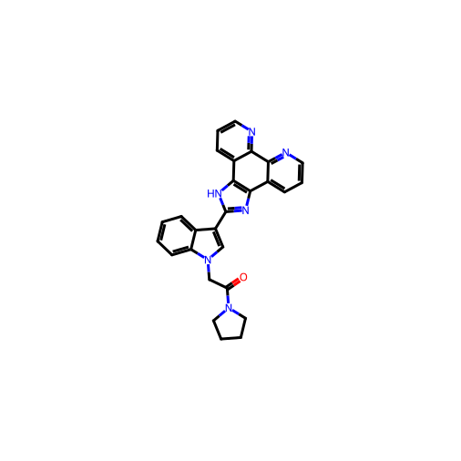 O=C(Cn1cc(-c2nc3c4cccnc4c4ncccc4c3[nH]2)c2ccccc21)N1CCCC1